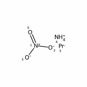 O=[N+]([O-])[O-].[NH4+].[Pr]